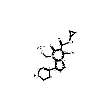 CC(C)Cn1c(=O)c(C(=O)NC2CC2)c(O)n2ncc(C3=CCNCC3)c12.Cl